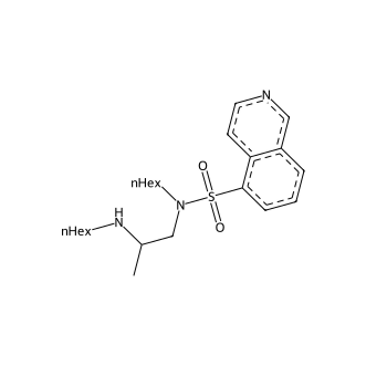 CCCCCCNC(C)CN(CCCCCC)S(=O)(=O)c1cccc2cnccc12